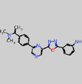 C=C(c1ccc(-c2cncc(-c3nnc(-c4cccc(N)c4)o3)n2)cc1)N(C)C